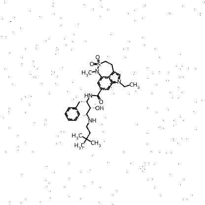 CCn1cc2c3c(cc(C(=O)N[C@@H](Cc4ccccc4)[C@H](O)CNCCC(C)(C)C)cc31)N(C)S(=O)(=O)CC2